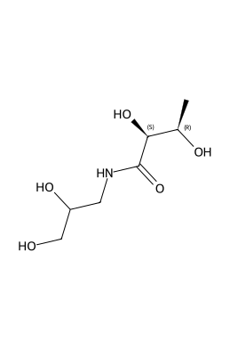 C[C@@H](O)[C@H](O)C(=O)NCC(O)CO